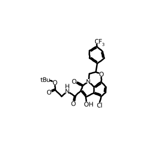 CC(C)(C)OC(=O)CNC(=O)c1c(O)c2c(Cl)ccc3c2n(c1=O)CC(c1ccc(C(F)(F)F)cc1)O3